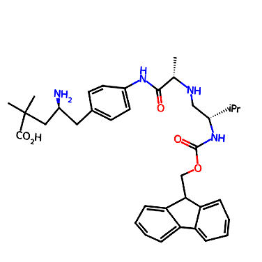 CC(C)[C@@H](CN[C@@H](C)C(=O)Nc1ccc(C[C@H](N)CC(C)(C)C(=O)O)cc1)NC(=O)OCC1c2ccccc2-c2ccccc21